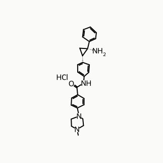 CN1CCN(c2ccc(C(=O)Nc3ccc([C@@H]4C[C@@]4(N)c4ccccc4)cc3)cc2)CC1.Cl